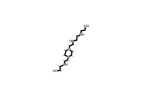 OCCNCCNCCN1CCN(CCNCCO)CC1